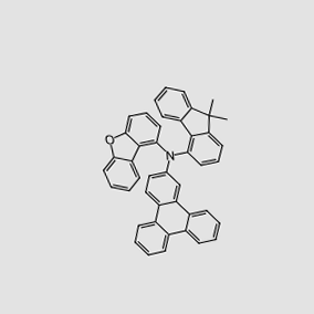 CC1(C)c2ccccc2-c2c(N(c3ccc4c5ccccc5c5ccccc5c4c3)c3cccc4oc5ccccc5c34)cccc21